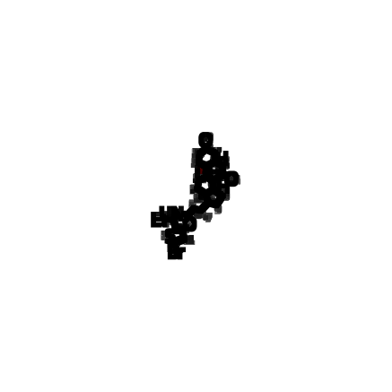 CC[C@@H](NC(=O)C[C@@H](C)C1CC[C@H]2[C@@H]3C(=O)C[C@@H]4CC(=O)CC[C@]4(C)[C@H]3CC[C@]12C)c1ccc(Br)s1